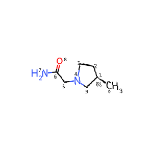 C[C@@H]1CCN(CC(N)=O)C1